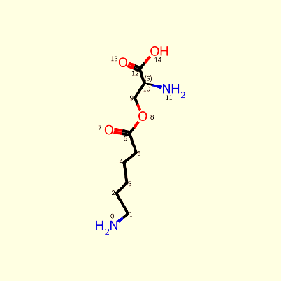 NCCCCCC(=O)OC[C@H](N)C(=O)O